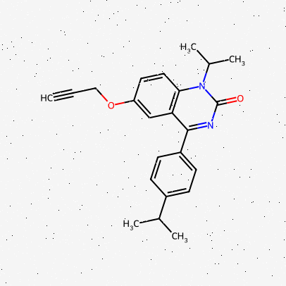 C#CCOc1ccc2c(c1)c(-c1ccc(C(C)C)cc1)nc(=O)n2C(C)C